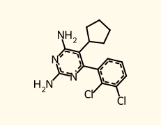 Nc1nc(N)c(C2CCCC2)c(-c2cccc(Cl)c2Cl)n1